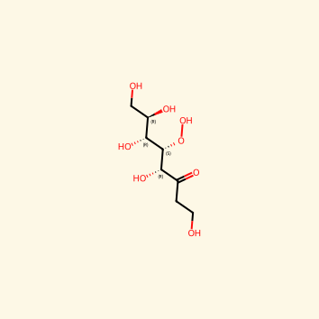 O=C(CCO)[C@H](O)[C@@H](OO)[C@H](O)[C@H](O)CO